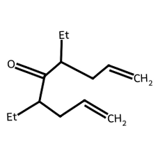 C=CCC(CC)C(=O)C(CC)CC=C